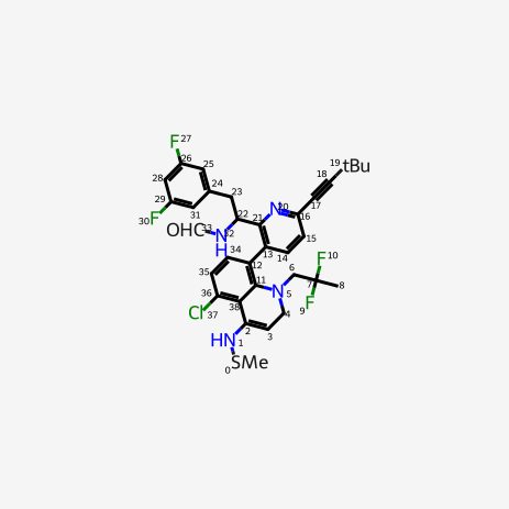 CSNC1=CCN(CC(C)(F)F)c2c(-c3ccc(C#CC(C)(C)C)nc3C(Cc3cc(F)cc(F)c3)NC=O)ccc(Cl)c21